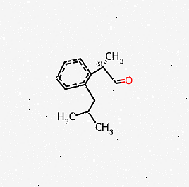 CC(C)Cc1ccccc1[C@H](C)C=O